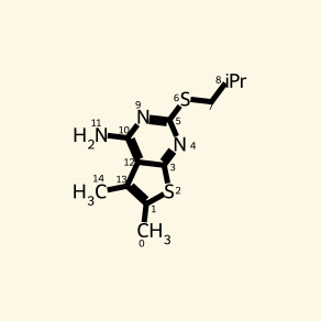 Cc1sc2nc(SCC(C)C)nc(N)c2c1C